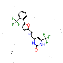 O=c1nc(/C=C/c2ccc(-c3ccccc3C(F)(F)F)o2)cc(C(F)(F)F)[nH]1